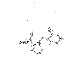 COC(=O)c1cccn1Cc1ccncc1Cl